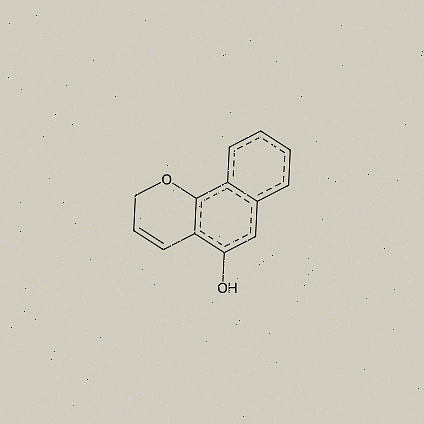 Oc1cc2ccccc2c2c1C=CCO2